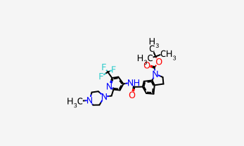 CN1CCN(Cc2cc(NC(=O)c3ccc4c(c3)N(C(=O)OC(C)(C)C)CC4)cc(C(F)(F)F)n2)CC1